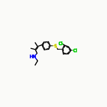 CCNCC(C)=C(C)c1ccc(SCc2ccc(Cl)cc2Cl)cc1